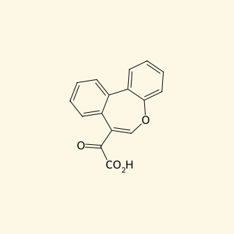 O=C(O)C(=O)C1=COc2ccccc2-c2ccccc21